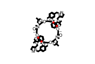 CC(C)CC1C(=O)O[C@H](C)C(=O)N(C)[C@@H](CC(C)C)C(=O)O[C@H](Cc2ccc(Cn3nccc3COc3ccccc3)cc2)C(=O)N(C)[C@@H](CC(C)C)C(=O)O[C@H](C)C(=O)N(C)[C@@H](CC(C)C)C(=O)O[C@H](Cc2ccc(Cn3nccc3COc3ccccc3)cc2)C(=O)N1C